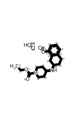 CCOC(=O)N1CCC(NC2CCc3cccc(OC)c3C2)CC1.Cl.Cl